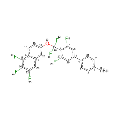 CCCCc1ccc(-c2cc(F)c(C(F)(F)Oc3ccc4c(F)c(F)c(F)cc4c3)c(F)c2)cc1